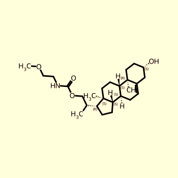 COCCNC(=O)OCC(C)[C@H]1CC[C@H]2[C@@H]3CC=C4C[C@@H](O)CC[C@]4(C)[C@H]3CC[C@]12C